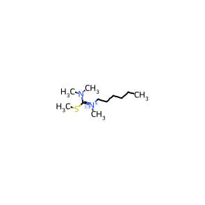 CCCCCC/[N+](C)=C(/SC)N(C)C